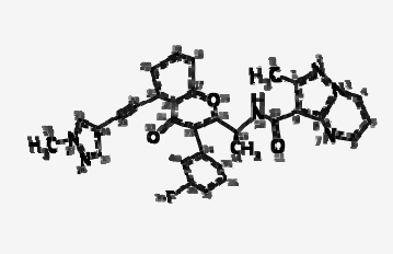 Cc1nn2cccnc2c1C(=O)N[C@@H](C)c1oc2cccc(C#Cc3cnn(C)c3)c2c(=O)c1-c1cccc(F)c1